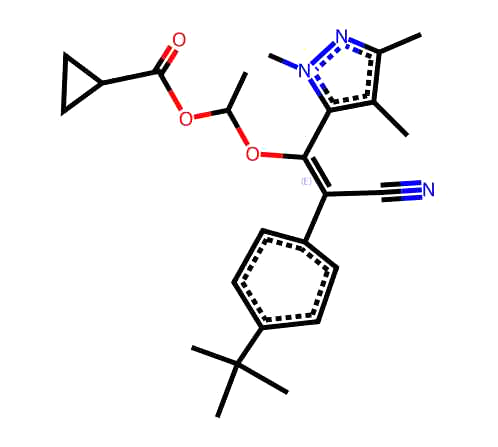 Cc1nn(C)c(/C(OC(C)OC(=O)C2CC2)=C(\C#N)c2ccc(C(C)(C)C)cc2)c1C